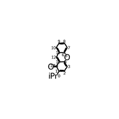 CC(C)c1ccc2oc3ccccc3cc-2c1=O